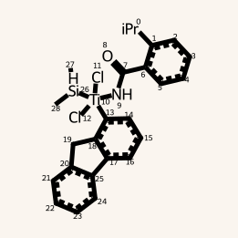 CC(C)c1ccccc1C(=O)[NH][Ti]([Cl])([Cl])([c]1cccc2c1Cc1ccccc1-2)[SiH](C)C